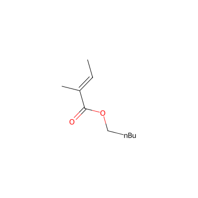 CC=C(C)C(=O)OCCCCC